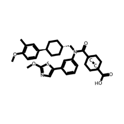 COc1ncc(-c2cccc(N(C[C@H]3CC[C@H](c4ccc(OC)c(C)c4)CC3)C(=O)C34CCC(C(=O)O)(CC3)CC4)c2)s1